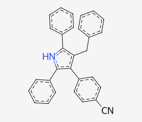 N#Cc1ccc(-c2c(-c3ccccc3)[nH]c(-c3ccccc3)c2Cc2ccccc2)cc1